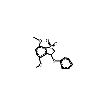 COc1ccc(OC)c2c1C(Sc1ccccc1)CS2(=O)=O